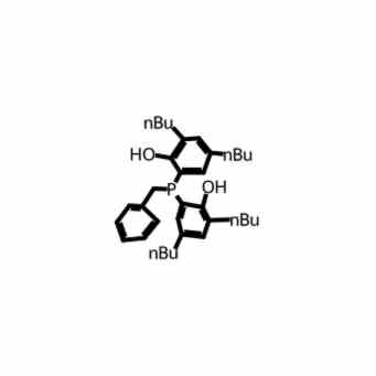 CCCCc1cc(CCCC)c(O)c(P(Cc2ccccc2)c2cc(CCCC)cc(CCCC)c2O)c1